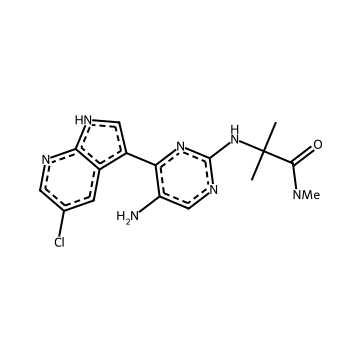 CNC(=O)C(C)(C)Nc1ncc(N)c(-c2c[nH]c3ncc(Cl)cc23)n1